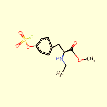 CCNC(Cc1ccc(OS(=O)(=O)F)cc1)C(=O)OC